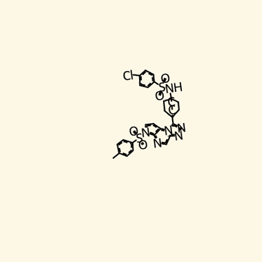 Cc1ccc(S(=O)(=O)n2ccc3c2ncc2nnc(C45CCC(NS(=O)(=O)c6ccc(Cl)cc6)(CC4)CC5)n23)cc1